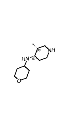 C[C@@H]1CNCC[C@@H]1NC1CCOCC1